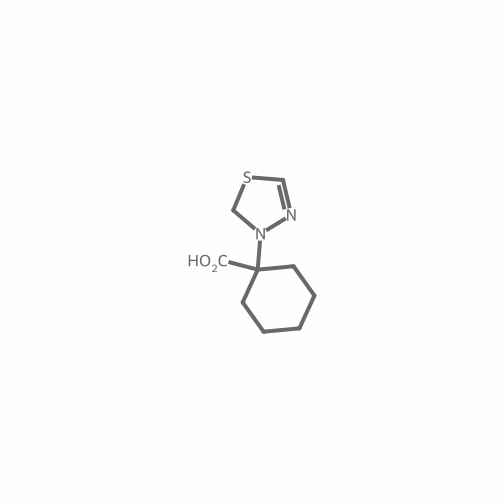 O=C(O)C1(N2CSC=N2)CCCCC1